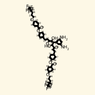 Nc1cc(N)cc(C(C(O)C(=O)/C=C/c2ccc(OC(=O)c3ccc(OCCCC(F)(F)C(F)(F)F)cc3)cc2)C(O)C(=O)/C=C/c2ccc(OC(=O)c3ccc(OCCCC(F)(F)C(F)(F)F)cc3)cc2)c1